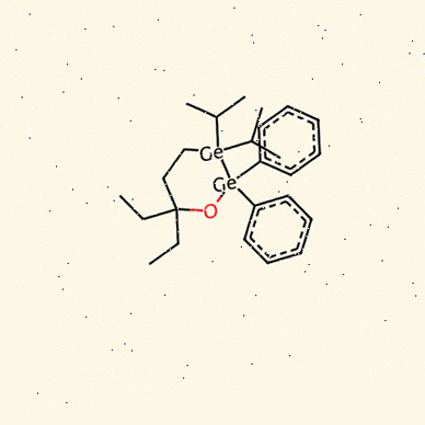 CCC1(CC)C[CH2][Ge]([CH](C)C)([CH](C)C)[Ge]([c]2ccccc2)([c]2ccccc2)[O]1